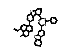 C=Cc1ccc2c(-c3ccc4oc5cccc(C6=NCC(C7=CC8Sc9ccccc9C8C=C7)=NC(c7ccccc7)=N6)c5c4c3)ccc3c2c1C(C)=CC3